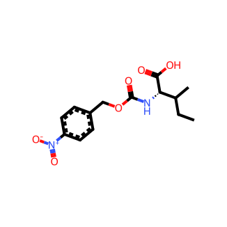 CCC(C)[C@H](NC(=O)OCc1ccc([N+](=O)[O-])cc1)C(=O)O